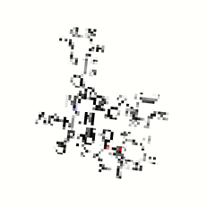 CC(=O)N(C(=O)OCc1ccccc1)/C(=N/C(=O)OCc1ccccc1)N(C(=O)OCc1ccccc1)C(=O)OCc1ccccc1